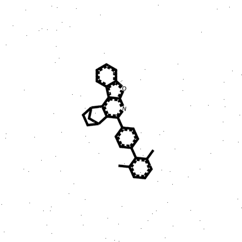 Cc1cccc(C)c1-c1ccc(-c2nc3oc4ccccc4c3c3c2C2CCC3C2)cc1